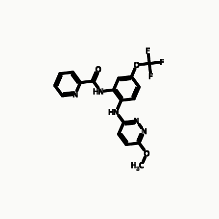 COc1ccc(Nc2ccc(OC(F)(F)F)cc2NC(=O)c2ccccn2)nn1